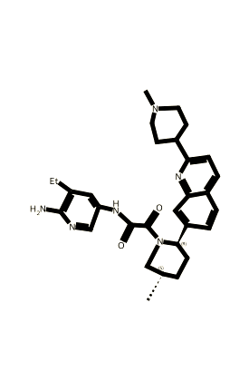 CCc1cc(NC(=O)C(=O)N2C[C@@H](C)CC[C@@H]2c2ccc3ccc(C4CCN(C)CC4)nc3c2)cnc1N